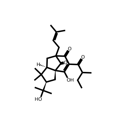 CCC(C)C(=O)C1=C(O)[C@]23C[C@@H](C(C)(C)O)C(C)(C)[C@H]2CC(CC=C(C)C)(C1=O)C3=O